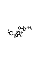 Nc1nc(C2CCC2c2nc3c(cnn3C3CCC(F)(F)CC3)c(=O)[nH]2)cs1